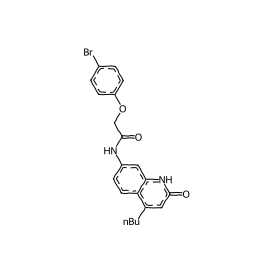 CCCCc1cc(=O)[nH]c2cc(NC(=O)COc3ccc(Br)cc3)ccc12